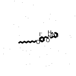 CCCCCCCCCCOc1ccc(CC(=O)NCc2cccc[n+]2C)cc1.[I-]